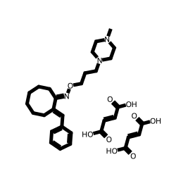 CN1CCN(CCCON=C2CCCCCCC2=Cc2ccccc2)CC1.O=C(O)/C=C/C(=O)O.O=C(O)/C=C/C(=O)O